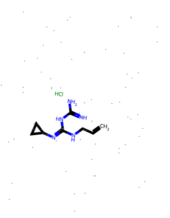 C=CCN/C(=N/C1CC1)NC(=N)N.Cl